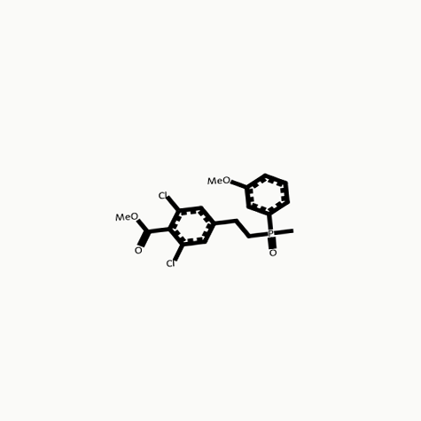 COC(=O)c1c(Cl)cc(CCP(C)(=O)c2cccc(OC)c2)cc1Cl